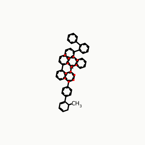 CC1CC=CC=C1c1ccc(-c2ccc(N(c3ccccc3-c3ccccc3-c3ccccc3-c3ccccc3)c3ccccc3-c3cccc4cccc(-c5ccccc5)c34)cc2)cc1